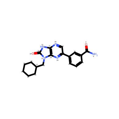 NC(=O)c1cccc(-c2cnc3[nH]c(=O)n(CC4CCCCC4)c3n2)c1